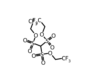 O=S(=O)(OCC(F)(F)F)C(S(=O)(=O)OCC(F)(F)F)S(=O)(=O)OCC(F)(F)F